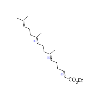 CCOC(=O)/C=C/CC/C=C(\C)CC/C=C(\C)CCC=C(C)C